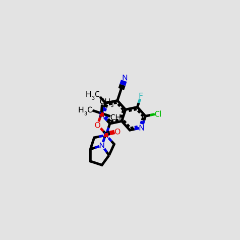 Cc1nc(N2CC3CCC(C2)N3C(=O)OC(C)(C)C)c2cnc(Cl)c(F)c2c1C#N